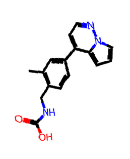 Cc1cc(-c2ccnn3cccc23)ccc1CNC(=O)O